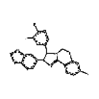 Cc1ccc2c(c1)CCN1C2=NC(c2ccc3ncnn3c2)C1c1ccc(F)c(C)n1